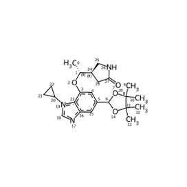 C[C@@H](Oc1cc(C2OC(C)(C)C(C)(C)O2)cc2ncn(C3CC3)c12)[C@H]1CNC(=O)C1